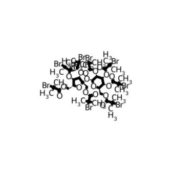 CC(C)(Br)C(=O)OC[C@H]1O[C@@](COC(=O)C(C)(C)Br)(O[C@H]2O[C@H](COC(=O)C(C)(C)Br)[C@@H](OC(=O)C(C)(C)Br)[C@H](OC(=O)C(C)(C)Br)[C@H]2OC(=O)C(C)(C)Br)[C@@H](OC(=O)C(C)(C)Br)[C@@H]1OC(=O)C(C)(C)Br